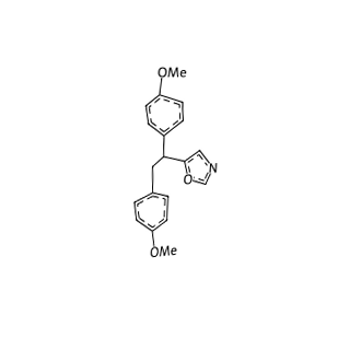 COc1ccc(CC(c2ccc(OC)cc2)c2cnco2)cc1